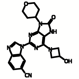 N#Cc1ccc2ncn(-c3nc(N4CC(O)C4)c4[nH]c(=O)n(C5CCOCC5)c4n3)c2c1